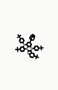 CC(C)(C)c1ccc(N2c3cc(C(C)(C)C)ccc3B3c4sc5ccc(C(C)(C)C)cc5c4N(c4ccc(C(C)(C)C)cc4)c4cc(C56CC7CC(C5)C(C7)C6)cc2c43)cc1